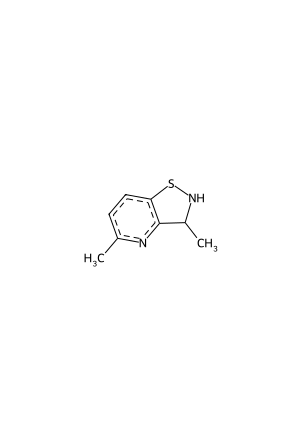 Cc1ccc2c(n1)C(C)NS2